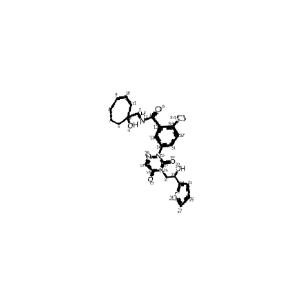 O=C(NCC1(O)CCCCCC1)c1cc(-n2ncc(=O)n(CC(O)c3cccs3)c2=O)ccc1Cl